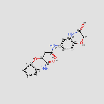 O=C(CC1Oc2ccccc2NC1=O)Nc1ccc2c(c1)NC(=O)CO2